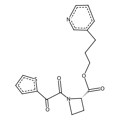 O=C(C(=O)N1CC[C@H]1C(=O)OCCCc1cccnc1)c1cccs1